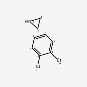 C1CN1.CCc1ccccc1CC